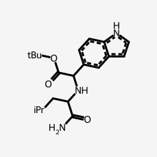 CC(C)CC(NC(C(=O)OC(C)(C)C)c1ccc2[nH]ccc2c1)C(N)=O